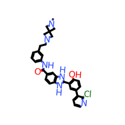 CN1CC2(C1)CN(CCc1cccc(NC(=O)c3ccc4c(c3)NC(c3cc(-c5cccnc5Cl)ccc3O)N4)c1)C2